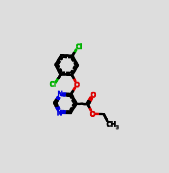 CCOC(=O)c1cncnc1Oc1cc(Cl)ccc1Cl